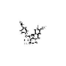 [C-]#[N+]c1cc2c(cc1C)NC1C(CCC(O)[C@@]1(O)COc1ccc(C#N)cc1)C2